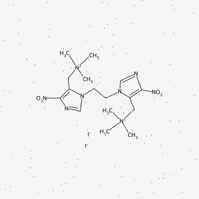 C[N+](C)(C)Cc1c([N+](=O)[O-])ncn1CCn1cnc([N+](=O)[O-])c1C[N+](C)(C)C.[I-].[I-]